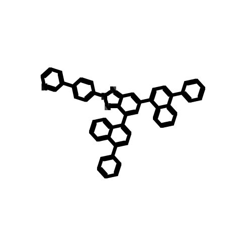 c1ccc(-c2ccc(-c3cc(-c4ccc(-c5ccccc5)c5ccccc45)c4nn(-c5ccc(-c6cccnc6)cc5)nc4c3)c3ccccc23)cc1